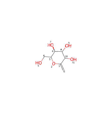 C=C1OC(CO)[C@@H](O)C(O)C1O